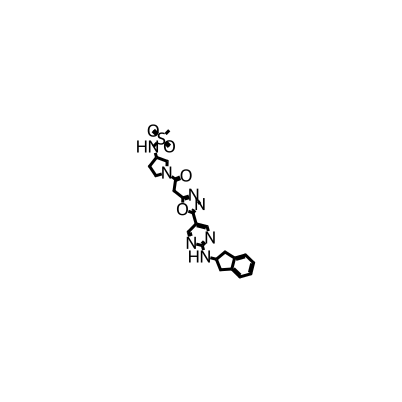 CS(=O)(=O)NC1CCN(C(=O)Cc2nnc(-c3cnc(NC4Cc5ccccc5C4)nc3)o2)C1